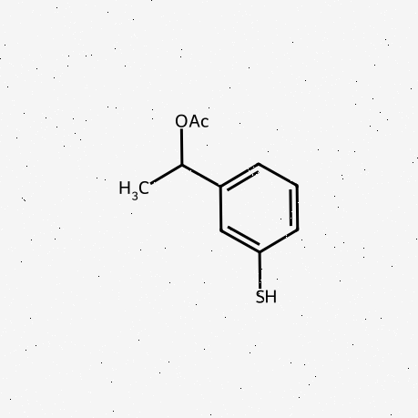 CC(=O)OC(C)c1cccc(S)c1